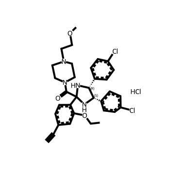 C#Cc1ccc(C2(C(=O)N3CCN(CCOC)CC3)N[C@H](c3ccc(Cl)cc3)[C@H](c3ccc(Cl)cc3)N2)c(OCC)c1.Cl